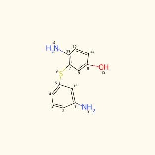 Nc1cccc(Sc2cc(O)ccc2N)c1